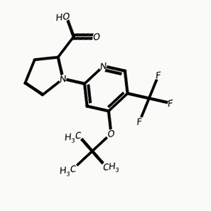 CC(C)(C)Oc1cc(N2CCCC2C(=O)O)ncc1C(F)(F)F